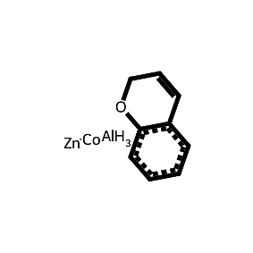 C1=Cc2ccccc2OC1.[AlH3].[Co].[Zn]